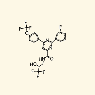 O=C(NCC(O)C(F)(F)F)c1cc(-c2ccc(OC(F)(F)F)cc2)nc(-c2cccc(F)c2)n1